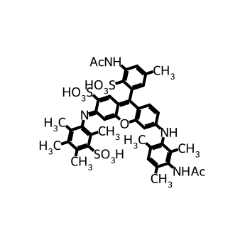 CC(=O)Nc1cc(C)cc(-c2c3cc(S(=O)(=O)O)/c(=N/c4c(C)c(C)c(C)c(S(=O)(=O)O)c4C)cc-3oc3cc(Nc4c(C)cc(C)c(NC(C)=O)c4C)ccc23)c1S(=O)(=O)O